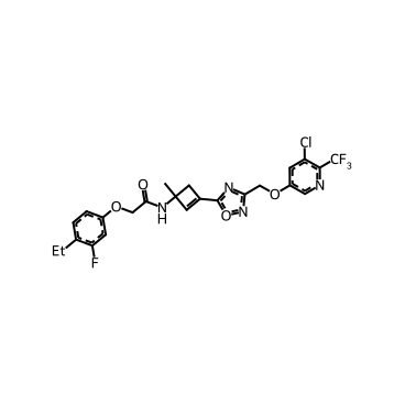 CCc1ccc(OCC(=O)NC2(C)C=C(c3nc(COc4cnc(C(F)(F)F)c(Cl)c4)no3)C2)cc1F